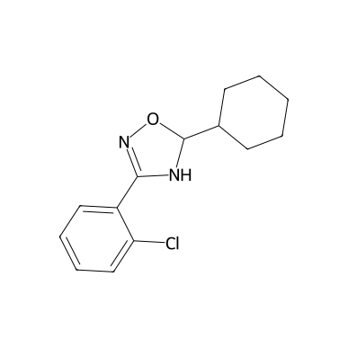 Clc1ccccc1C1=NOC(C2CCCCC2)N1